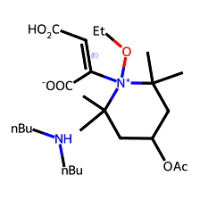 CCCCNCCCC.CCO[N+]1(/C(=C/C(=O)O)C(=O)[O-])C(C)(C)CC(OC(C)=O)CC1(C)C